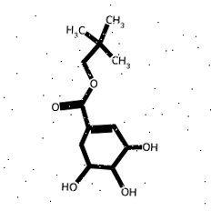 CC(C)(C)COC(=O)C1=CC(O)C(O)C(O)C1